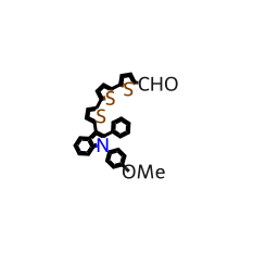 COc1ccc(-n2c(-c3ccccc3)c(-c3ccc(-c4ccc(-c5ccc(C=O)s5)s4)s3)c3ccccc32)cc1